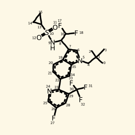 CC(C)(C)Cn1cc(C(NS(=O)(=O)C2CC2)C(F)F)c2ccc(-c3ncc(F)cc3C(F)(F)F)cc21